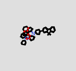 CC1(C)c2ccccc2-c2ccc(-c3ccc(N(c4ccccc4-c4cccc5cccc(C6CCCCC6)c45)c4cccc5c4c4ccccc4n5-c4ccccc4)cc3)cc21